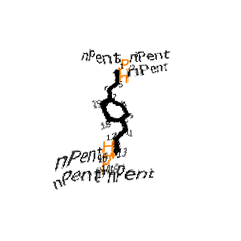 CCCCC[PH](CCCCC)(CCCCC)CCCC1CCC(CCC[PH](CCCCC)(CCCCC)CCCCC)CC1